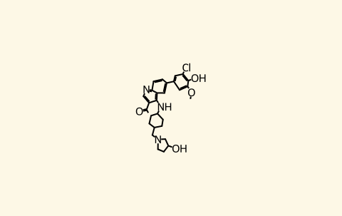 COc1cc(-c2ccc3ncc(C(C)=O)c(NC4CCC(CN5CCC(O)C5)CC4)c3c2)cc(Cl)c1O